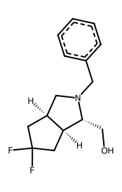 OC[C@@H]1[C@H]2CC(F)(F)C[C@H]2CN1Cc1ccccc1